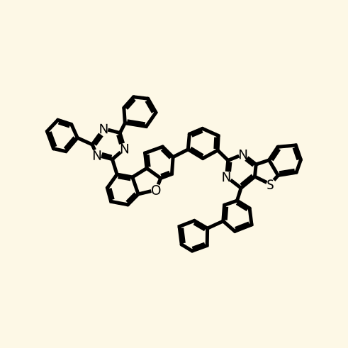 c1ccc(-c2cccc(-c3nc(-c4cccc(-c5ccc6c(c5)oc5cccc(-c7nc(-c8ccccc8)nc(-c8ccccc8)n7)c56)c4)nc4c3sc3ccccc34)c2)cc1